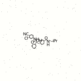 CC(C)CCNC(=O)c1ccc(CC(O)(C(=O)Nc2ccc(C#N)c(Cl)c2)c2ccccc2)cc1